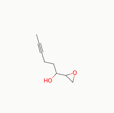 CC#CCCC(O)C1CO1